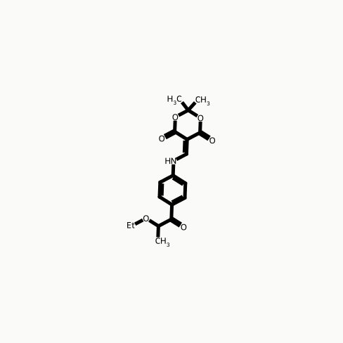 CCOC(C)C(=O)c1ccc(NC=C2C(=O)OC(C)(C)OC2=O)cc1